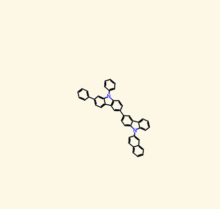 c1ccc(-c2ccc3c4cc(-c5ccc6c(c5)c5ccccc5n6-c5ccc6ccccc6c5)ccc4n(-c4ccccc4)c3c2)cc1